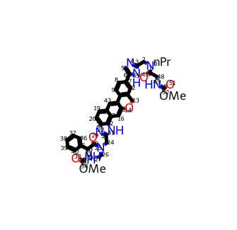 CCCN(Cc1ncc(-c2ccc3c(c2)COc2cc4c(ccc5nc(CN(CC(C)C)C(=O)[C@H](NC(=O)OC)c6ccccc6)[nH]c54)cc2-3)[nH]1)C(=O)CNC(=O)OC